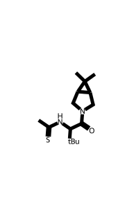 CC(=S)NC(C(=O)N1CC2C(C1)C2(C)C)C(C)(C)C